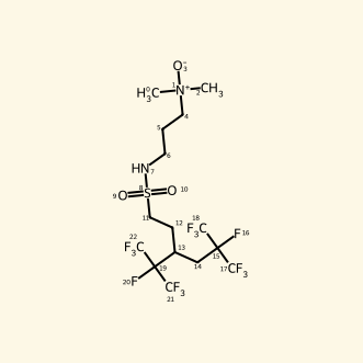 C[N+](C)([O-])CCCNS(=O)(=O)CCC(CC(F)(C(F)(F)F)C(F)(F)F)C(F)(C(F)(F)F)C(F)(F)F